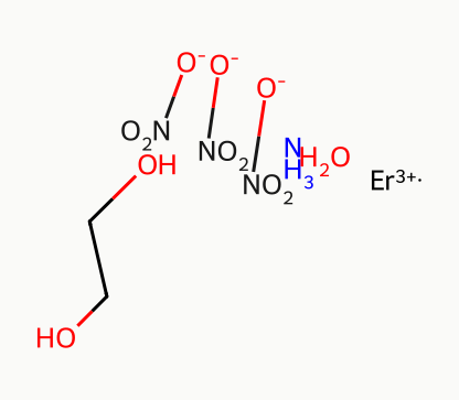 N.O.O=[N+]([O-])[O-].O=[N+]([O-])[O-].O=[N+]([O-])[O-].OCCO.[Er+3]